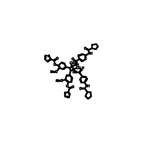 COc1cc(C2C(c3ccc(OC(=O)c4cccs4)c(OC)c3)C(NC(=O)c3ccc(NC(=O)C4CCCC4)cc3)(C(=O)O)C2(NC(=O)c2ccc(NC(=O)C3CCCC3)cc2)C(=O)O)ccc1OC(=O)c1cccs1